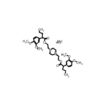 CCCC(C(=O)OCCN1CCN(CCOC(=O)C(CCC)c2ccc(OC)c(OC)c2)CC1)c1ccc(OC)c(OC)c1.Cl.Cl